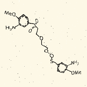 COc1ccc(SOOCCOCCS(=O)(=O)c2ccc(OC)c(N)c2)cc1N